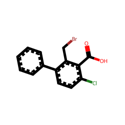 O=C(O)c1c(Cl)ccc(-c2ccccc2)c1CBr